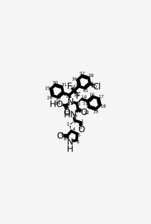 O=C[C@H](C[C@@H]1CCNC1=O)NC(=O)[C@H](Cc1ccccc1)N(C(=O)O)C(c1ccccc1)C(F)(F)c1cccc(Cl)c1